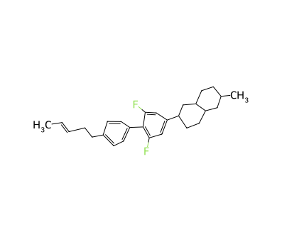 CC=CCCc1ccc(-c2c(F)cc(C3CCC4CC(C)CCC4C3)cc2F)cc1